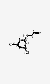 C=CCNc1nc(Cl)cc(Cl)n1